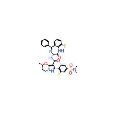 C[C@@H]1CCn2nc(-c3ccc(S(=O)(=O)N(C)C)cc3F)c(C(=O)N[C@H]3N=C(c4ccccc4)c4cccc(F)c4NC3=O)c2O1